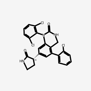 O=C1NCC[C@H]1c1cc(-c2ccccc2Cl)c2c(c1)N(c1c(Cl)cccc1Cl)C(=O)NC2